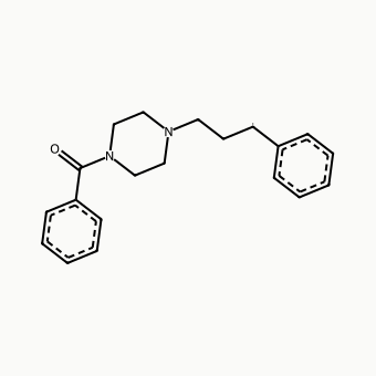 O=C(c1ccccc1)N1CCN(CC[CH]c2ccccc2)CC1